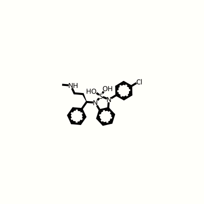 CNCC[C@H](c1ccccc1)N1c2ccccc2N(c2ccc(Cl)cc2)S1(O)O